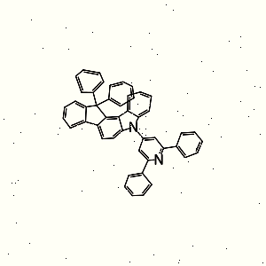 c1ccc(-c2cc(-n3c4ccccc4c4c5c(ccc43)-c3ccccc3C5(c3ccccc3)c3ccccc3)cc(-c3ccccc3)n2)cc1